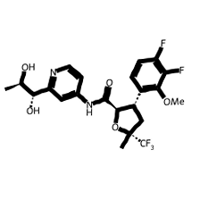 COc1c([C@@H]2C[C@](C)(C(F)(F)F)O[C@H]2C(=O)Nc2ccnc([C@H](O)[C@@H](C)O)c2)ccc(F)c1F